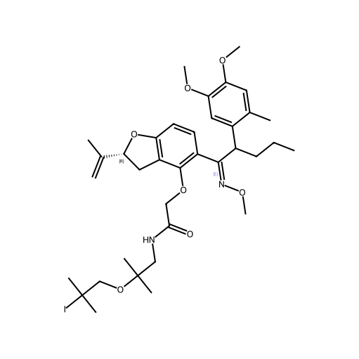 C=C(C)[C@H]1Cc2c(ccc(/C(=N/OC)C(CCC)c3cc(OC)c(OC)cc3C)c2OCC(=O)NCC(C)(C)OCC(C)(C)I)O1